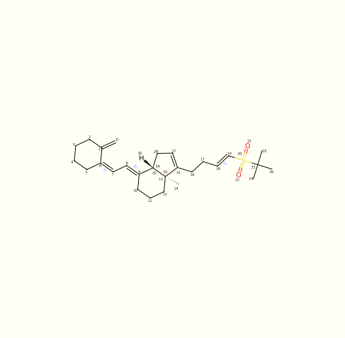 C=C1CCCC/C1=C/C=C1\CCC[C@]2(C)C(CC/C=C/S(=O)(=O)C(C)(C)C)=CC[C@@H]12